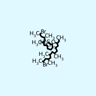 CCC(CCCC(C)CC(C)CC(C)CC(C)Br)OC(CC)CCCC(C)CC(C)CC(C)CC(C)Br